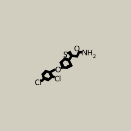 NC(=O)Cc1csc2cc(OCc3ccc(Cl)cc3Cl)ccc12